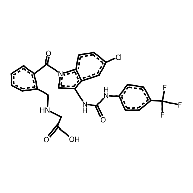 O=C(O)CNCc1ccccc1C(=O)n1cc(NC(=O)Nc2ccc(C(F)(F)F)cc2)c2cc(Cl)ccc21